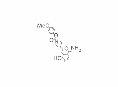 COc1ccc(OC(=O)N2CCC([C@@H]3Cc4c(ccc(C)c4O)[C@H](CN)O3)CC2)cc1